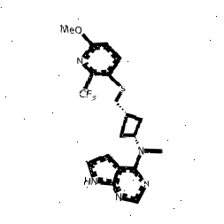 COc1ccc(SC[C@H]2C[C@@H](N(C)c3ncnc4[nH]ccc34)C2)c(C(F)(F)F)n1